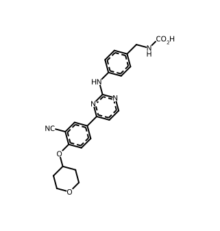 N#Cc1cc(-c2ccnc(Nc3ccc(CNC(=O)O)cc3)n2)ccc1OC1CCOCC1